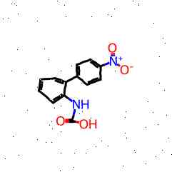 O=C(O)Nc1ccccc1-c1ccc([N+](=O)[O-])cc1